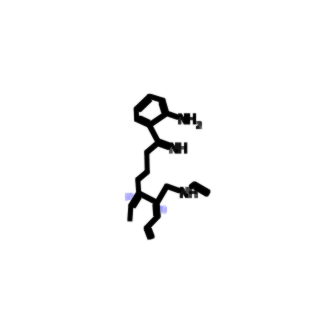 C=C/C=C(CNC=C)\C(=C/C)CCCC(=N)c1ccccc1N